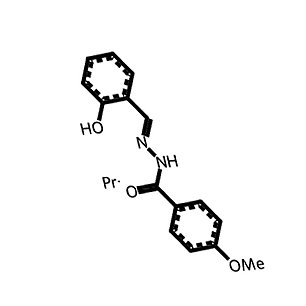 COc1ccc(C(=O)NN=Cc2ccccc2O)cc1.[Pr]